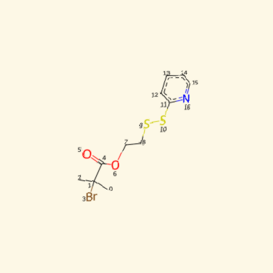 CC(C)(Br)C(=O)OCCSSc1ccccn1